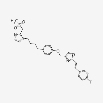 CS(=O)(=O)Cc1nccn1CCCCc1ccc(OCc2coc(C=Cc3ccc(F)cc3)n2)cc1